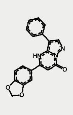 O=c1cc(-c2ccc3c(c2)OCO3)[nH]c2c(-c3ccccc3)cnn12